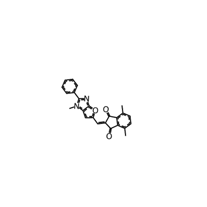 Cc1ccc(C)c2c1C(=O)C(=Cc1cc3c(nc(-c4ccccc4)n3C)o1)C2=O